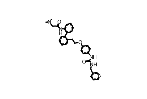 CN(C)CC(=O)Nc1ccccc1-c1ccccc1CCOc1ccc(NC(=O)NCc2cccnc2)cc1